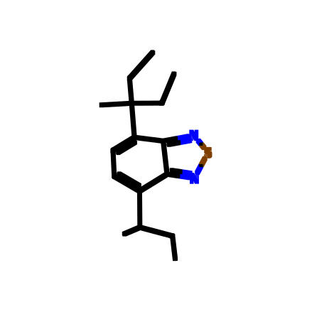 CCC(C)c1ccc(C(C)(CC)CC)c2nsnc12